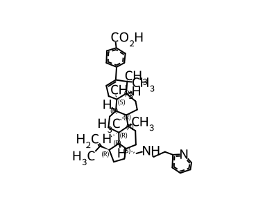 C=C(C)[C@@H]1CC[C@]2(CNCCc3ccccn3)CC[C@]3(C)[C@H](CC[C@@H]4[C@@]5(C)CC=C(c6ccc(C(=O)O)cc6)C(C)(C)[C@@H]5CC[C@]43C)[C@@H]12